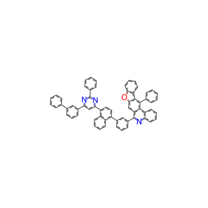 c1ccc(-c2cccc(-c3cc(-c4ccc(-c5cccc(-c6nc7ccccc7c7c(-c8ccccc8)c8c(cc67)oc6ccccc68)c5)c5ccccc45)nc(-c4ccccc4)n3)c2)cc1